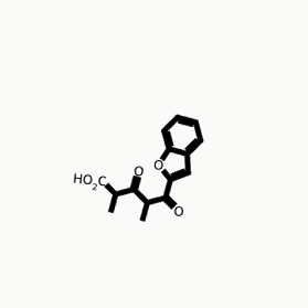 CC(C(=O)O)C(=O)C(C)C(=O)c1cc2ccccc2o1